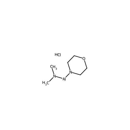 C[N](C)[Al][N]1CCOCC1.Cl